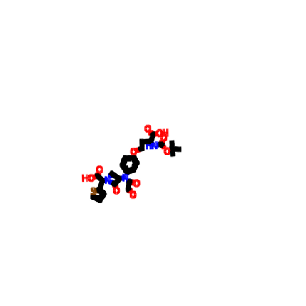 CC(C)(C)OC(=O)NC(CCOc1ccc(N(C(=O)C=O)C2CN(C(C(=O)O)c3cccs3)C2=O)cc1)C(=O)O